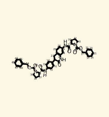 O=C1Nc2cc(NC(=O)[C@@H]3CCCN3C(=O)OCc3ccccc3)ccc2CC1c1ccc(NC(=O)[C@@H]2CCCN2C(=O)OCc2ccccc2)cc1